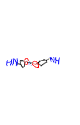 N=Cc1ccc(OC/C=C/COc2ccc(C=N)cc2)cc1